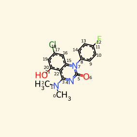 CN(C)c1nc(=O)n(-c2ccc(F)cc2)c2cc(Cl)cc(O)c12